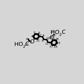 CC(Oc1cccc(CCCCc2ccccc2OCC(=O)O)c1)C(=O)O